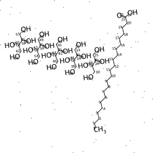 CCCCCCCCCCCCCCCCCCCCCC(=O)O.OC[C@@H](O)[C@@H](O)CO.OC[C@@H](O)[C@@H](O)CO.OC[C@@H](O)[C@@H](O)CO.OC[C@@H](O)[C@@H](O)CO.OC[C@@H](O)[C@@H](O)CO